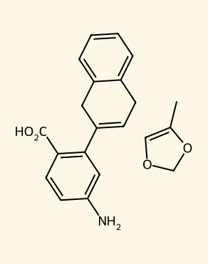 CC1=COCO1.Nc1ccc(C(=O)O)c(C2=CCc3ccccc3C2)c1